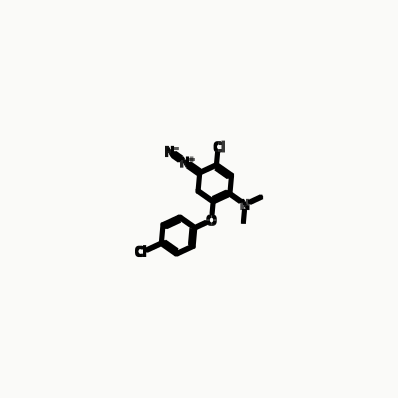 CN(C)C1=C(Oc2ccc(Cl)cc2)CC(=[N+]=[N-])C(Cl)=C1